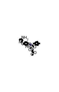 COC(=O)CCn1c(=O)[nH]/c(=N\c2ccc(Oc3cc(N)ccn3)cc2)n(Cc2ccc(C)cc2)c1=O